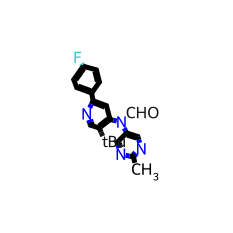 Cc1ncc(N(C=O)c2cc(-c3ccc(F)cc3)ncc2C(C)(C)C)cn1